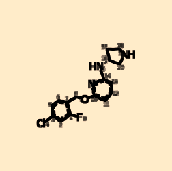 Fc1cc(Cl)ccc1COc1cccc(N[C@@H]2CCNC2)n1